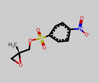 C[C@]1(COS(=O)(=O)c2ccc([N+](=O)[O-])cc2)CO1